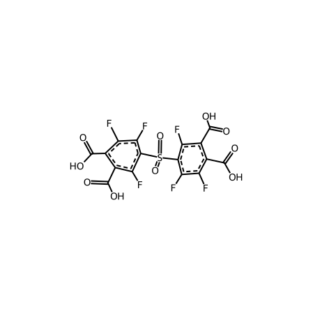 O=C(O)c1c(F)c(F)c(S(=O)(=O)c2c(F)c(F)c(C(=O)O)c(C(=O)O)c2F)c(F)c1C(=O)O